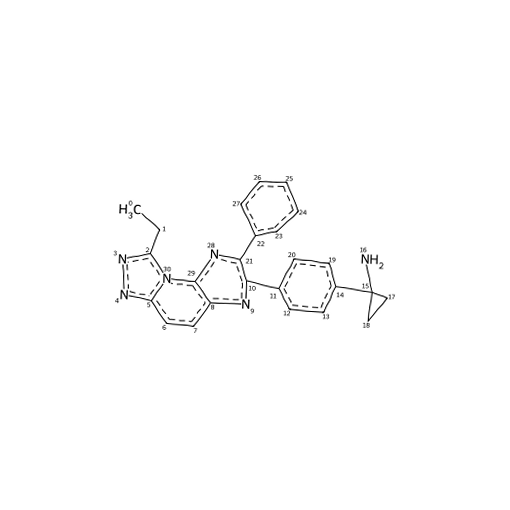 CCc1nnc2ccc3nc(-c4ccc(C5(N)CC5)cc4)c(-c4ccccc4)nc3n12